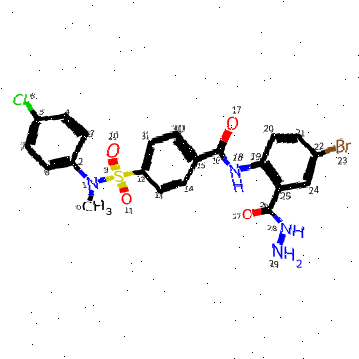 CN(c1ccc(Cl)cc1)S(=O)(=O)c1ccc(C(=O)Nc2ccc(Br)cc2C(=O)NN)cc1